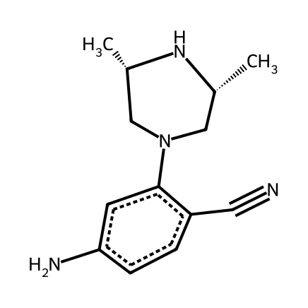 C[C@@H]1CN(c2cc(N)ccc2C#N)C[C@H](C)N1